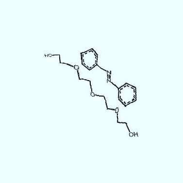 OCCOCCOCCOCCO.c1ccc(N=Nc2ccccc2)cc1